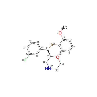 CCOc1ccccc1SC(c1cccc(F)c1)[C@@H]1CNCCO1